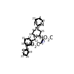 O=C(O)/C=C\C(=O)O.c1cnc(N2CCN(Cc3cccc(-c4cccs4)c3)CC2)nc1